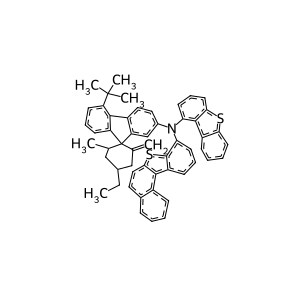 C=C1CC(CC)CC(C)C12c1cc(N(c3cccc4c3sc3ccc5ccccc5c34)c3cccc4sc5ccccc5c34)ccc1-c1c(C(C)(C)C)cccc12